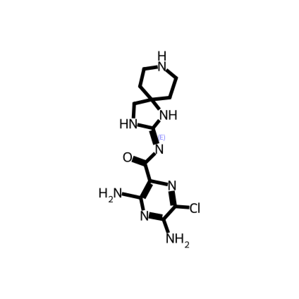 Nc1nc(N)c(C(=O)/N=C2\NCC3(CCNCC3)N2)nc1Cl